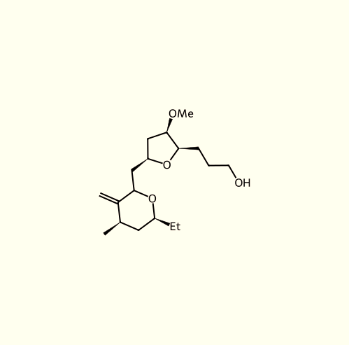 C=C1C(C[C@H]2C[C@@H](OC)[C@@H](CCCO)O2)O[C@@H](CC)C[C@H]1C